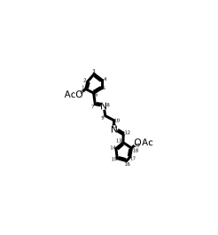 CC(=O)Oc1ccccc1/C=N/CC/N=C/c1ccccc1OC(C)=O